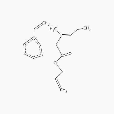 C=CCOC(=O)CC(C)=CCC.C=Cc1ccccc1